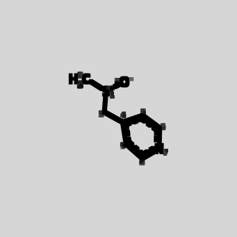 C[S+]([O-])Cc1ccncc1